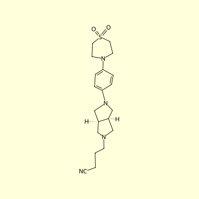 N#CCCCN1C[C@@H]2CN(c3ccc(N4CCS(=O)(=O)CC4)cc3)C[C@@H]2C1